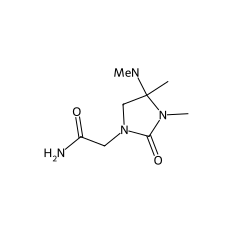 CNC1(C)CN(CC(N)=O)C(=O)N1C